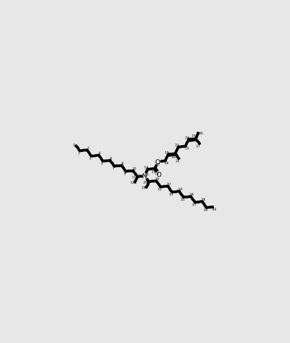 CCCCCCCCCCCC(C)N(CC(=O)OC/C=C(\C)CCC=C(C)C)C(C)CCCCCCCCCCC